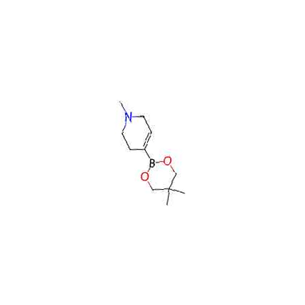 CN1CC=C(B2OCC(C)(C)CO2)CC1